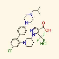 CC(C)CN1CCN(c2ccc(-c3ccc(Cl)cc3N3CCCC(n4ncc(C(=O)O)c4C(F)(F)F)C3)cc2)CC1.Cl